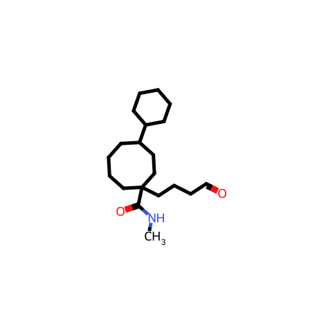 CNC(=O)C1(CCCC=O)CCCCC(C2CCCCC2)CC1